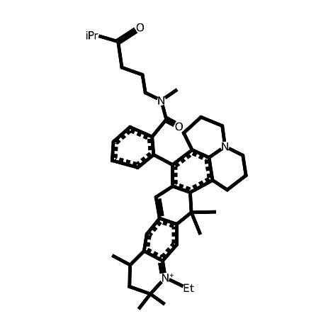 CC[N+]1=c2cc3c(cc2C(C)CC1(C)C)=Cc1c(-c2ccccc2C(=O)N(C)CCCC(=O)C(C)C)c2c4c(c1C3(C)C)CCCN4CCC2